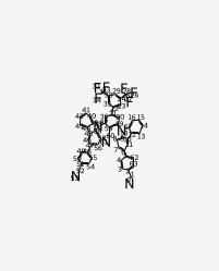 N#Cc1ccc(-c2ccc3c(c2)c2ccccc2n3-c2cc(-c3cc(C(F)(F)F)cc(C(F)(F)F)c3)cc(-n3c4ccccc4c4cc(-c5ccc(C#N)cc5)ccc43)c2C#N)cc1